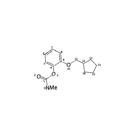 CNC(=O)Oc1ccccc1OCC1CCCC1